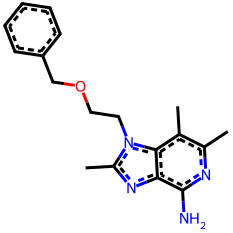 Cc1nc(N)c2nc(C)n(CCOCc3ccccc3)c2c1C